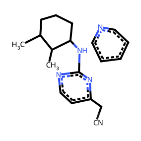 CC1CCCC(Nc2nccc(CC#N)n2)C1C.c1ccncc1